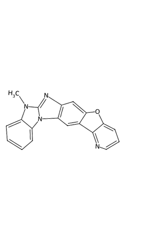 Cn1c2ccccc2n2c3cc4c(cc3nc12)oc1cccnc14